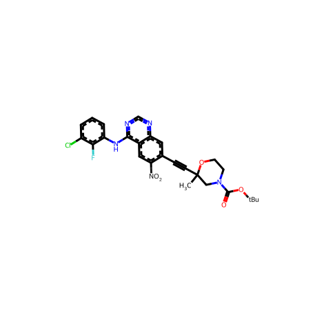 CC(C)(C)OC(=O)N1CCOC(C)(C#Cc2cc3ncnc(Nc4cccc(Cl)c4F)c3cc2[N+](=O)[O-])C1